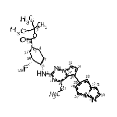 COc1nc(N[C@H]2CCN(C(=O)OC(C)(C)C)C[C@H]2F)nn2ccc(-c3ccn4nccc4c3)c12